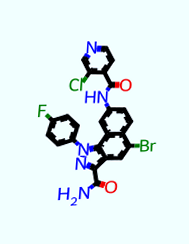 NC(=O)c1nn(-c2ccc(F)cc2)c2c1cc(Br)c1ccc(NC(=O)c3ccncc3Cl)cc12